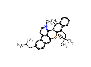 Cc1c2c(c(CC(C)(C)C)c3ccccc13)Sc1cc3ccc(CC(C)C)cc3c3cc[n+](C)c-2c13